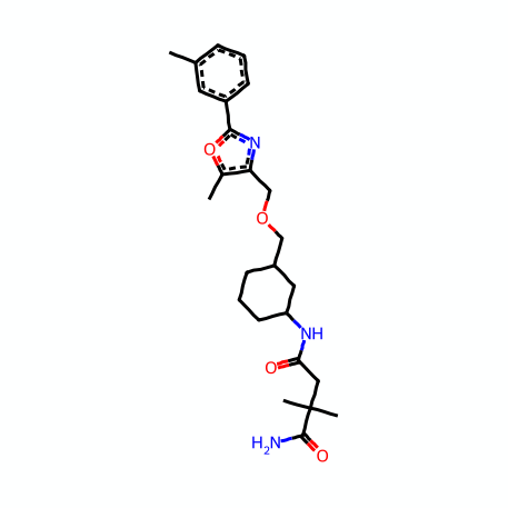 Cc1cccc(-c2nc(COCC3CCCC(NC(=O)CC(C)(C)C(N)=O)C3)c(C)o2)c1